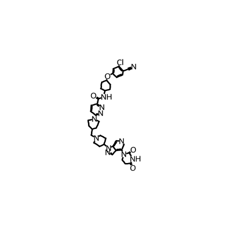 N#Cc1ccc(OC2CCC(NC(=O)c3ccc(N4CCC(CN5CCC(n6ncc7c(N8CCC(=O)NC8=O)cncc76)CC5)CC4)nn3)CC2)cc1Cl